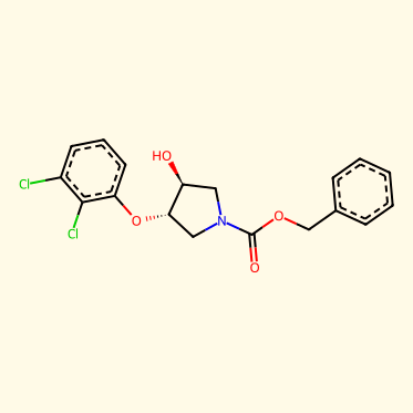 O=C(OCc1ccccc1)N1C[C@H](Oc2cccc(Cl)c2Cl)[C@@H](O)C1